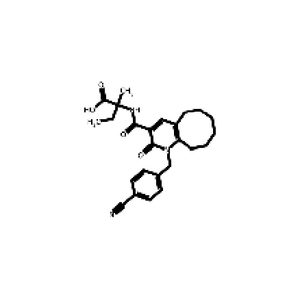 CCC(C)(NC(=O)c1cc2c(n(Cc3ccc(C#N)cc3)c1=O)CCCCCC2)C(=O)O